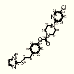 Cn1ccnc1SCCc1ccc(OC(=O)N2CCN(c3ccc(Cl)cn3)CC2)cc1